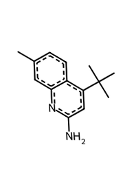 Cc1ccc2c(C(C)(C)C)cc(N)nc2c1